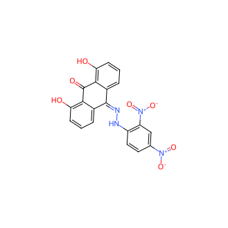 O=C1c2c(O)cccc2C(=NNc2ccc([N+](=O)[O-])cc2[N+](=O)[O-])c2cccc(O)c21